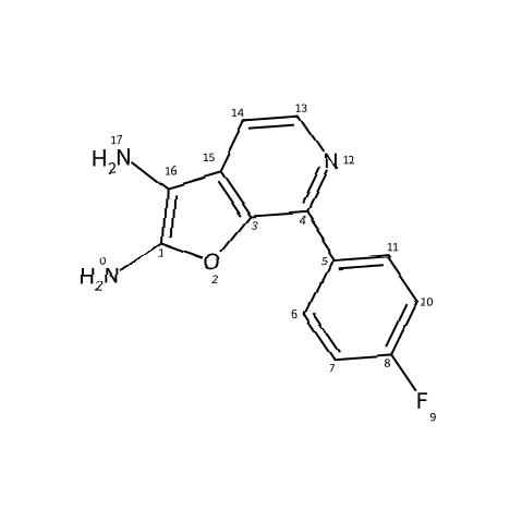 Nc1oc2c(-c3ccc(F)cc3)nccc2c1N